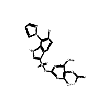 COc1nc(NS(=O)(=O)c2c[nH]c3c(-n4cccn4)c(Br)ccc23)nc(OC)c1OC(F)F